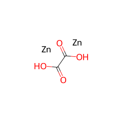 O=C(O)C(=O)O.[Zn].[Zn]